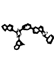 c1ccc(-c2nc3c(ccc4cc(-c5cccc(-c6nc(-c7ccc8ccccc8c7)nc(-c7ccc8ccccc8c7)n6)c5)ccc43)o2)cc1